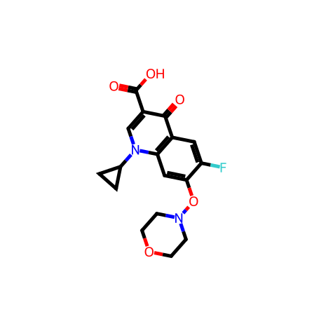 O=C(O)c1cn(C2CC2)c2cc(ON3CCOCC3)c(F)cc2c1=O